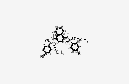 COc1cc(Br)ccc1S(=O)(=O)Nc1ccc(NS(=O)(=O)c2ccc(Br)cc2OC)c2ccccc12